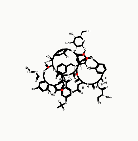 CCNNC(=O)[C@@H]1NC(=O)[C@H]2NC(=O)[C@H](NC(=O)[C@@H]3NC(=O)[C@H](CC(N)=O)NC(=O)[C@H](NC(=O)[C@@H](CC(C)C)NC)[C@H](O)c4ccc(c(Cl)c4)Oc4cc3cc(c4O[C@@H]3O[C@H](CO)[C@@H](O)[C@H](O)[C@H]3O[C@H]3C[C@](C)(NCc4cccc(NC(=O)c5ccc(OC(C)(F)F)cc5)c4)[C@H](O)[C@H](C)O3)Oc3ccc(cc3Cl)[C@H]2O)c2ccc(O)c(c2)-c2c(O)cc(O)cc21